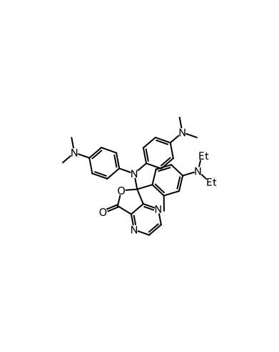 CCN(CC)c1ccc(C2(N(c3ccc(N(C)C)cc3)c3ccc(N(C)C)cc3)OC(=O)c3nccnc32)c(C)c1